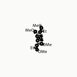 CCn1c2ccc(OC)cc2c2cc(N(c3ccc(OC)cc3)c3ccc4c(c3)C3(c5cc(N(c6ccc(OC)cc6)c6ccc7c(c6)c6cc(OC)ccc6n7CC)ccc5-4)c4ccsc4-c4sccc43)ccc21